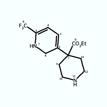 CCOC(=O)C1(C2=CC=C(C(F)(F)F)NC2)CCNCC1